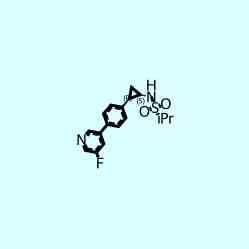 CC(C)S(=O)(=O)N[C@H]1C[C@@H]1c1ccc(-c2cncc(F)c2)cc1